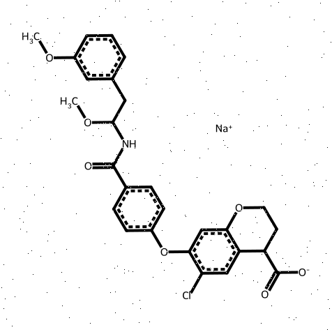 COc1cccc(CC(NC(=O)c2ccc(Oc3cc4c(cc3Cl)C(C(=O)[O-])CCO4)cc2)OC)c1.[Na+]